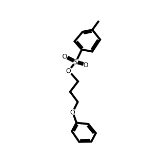 Cc1ccc(S(=O)(=O)OCCCOc2ccccc2)cc1